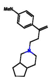 C=C(CCN1CCC2CCCC2C1)c1ccc(NC)cc1